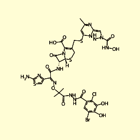 CC1=NC2=CN(C(=O)NO)NN2C(SCC2=C(C(=O)O)N3C(=O)[C@@H](NC(=O)C(=NOC(C)(C)C(=O)NNC(=O)c4cc(Br)c(O)c(O)c4Cl)c4csc(N)n4)[C@H]3SC2)=C1